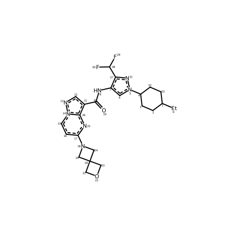 CCC1CCC(n2cc(NC(=O)c3cnn4ccc(N5CC6(COC6)C5)nc34)c(C(F)F)n2)CC1